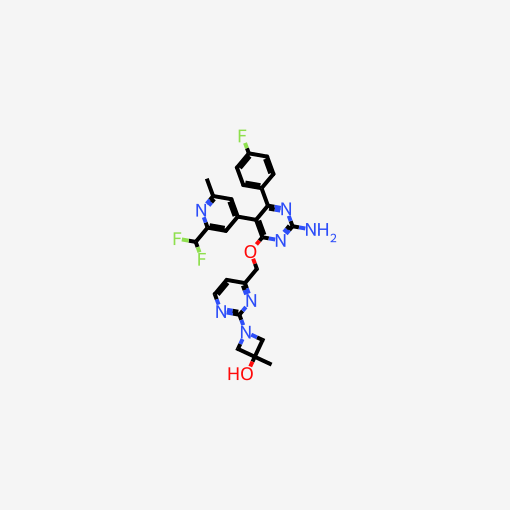 Cc1cc(-c2c(OCc3ccnc(N4CC(C)(O)C4)n3)nc(N)nc2-c2ccc(F)cc2)cc(C(F)F)n1